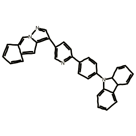 C1=CC2c3ccccc3N(c3ccc(-c4ccc(-c5cnn6cc7ccccc7cc56)cn4)cc3)C2C=C1